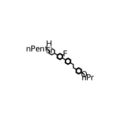 CCCCC[SiH]1CCC(c2ccc(-c3ccc(CCc4ccc(OCCC)cc4)cc3)c(F)c2)CC1